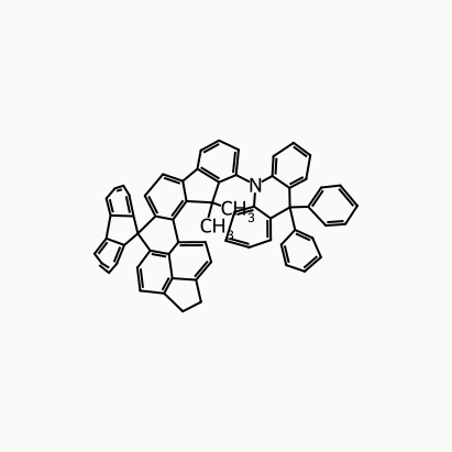 CC1(C)c2c(cccc2N2c3ccccc3C(c3ccccc3)(c3ccccc3)c3ccccc32)-c2ccc3c(c21)-c1ccc2c4c(ccc(c14)C31c3ccccc3-c3ccccc31)CC2